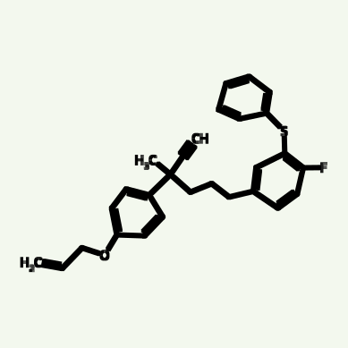 C#CC(C)(CCCc1ccc(F)c(Sc2ccccc2)c1)c1ccc(OCC=C)cc1